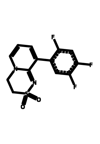 O=S1(=O)CCN2C=CC=C(c3cc(F)c(F)cc3F)C2=N1